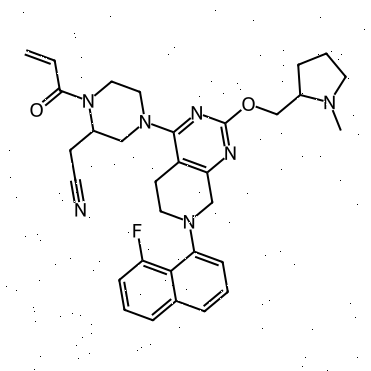 C=CC(=O)N1CCN(c2nc(OCC3CCCN3C)nc3c2CCN(c2cccc4cccc(F)c24)C3)CC1CC#N